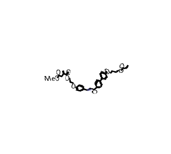 C=CC(=O)OCCCCOc1ccc(-c2ccc(C(=O)/C=C/c3ccc(OCCCOC(=O)C(=C)CC(=O)OC)cc3)cc2)cc1